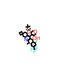 CC(C)c1nc2c(c(C3=CCOCC3)c1C(O)c1ccc(C(F)(F)F)cc1F)C(O[Si](C)(C)C(C)(C)C)CC1(CCC1)C2